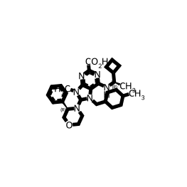 CC1CCC(CN2c3c(N[C@H](C)C4CCC4)nc(C(=O)O)nc3N(C)C2N2CCOC[C@H]2c2ccccc2)CC1